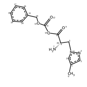 Cc1cnn(C[C@H](N)C(=O)OC(=O)OCc2ccccc2)c1